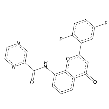 O=C(Nc1cccc2c(=O)cc(-c3cc(F)ccc3F)oc12)c1cnccn1